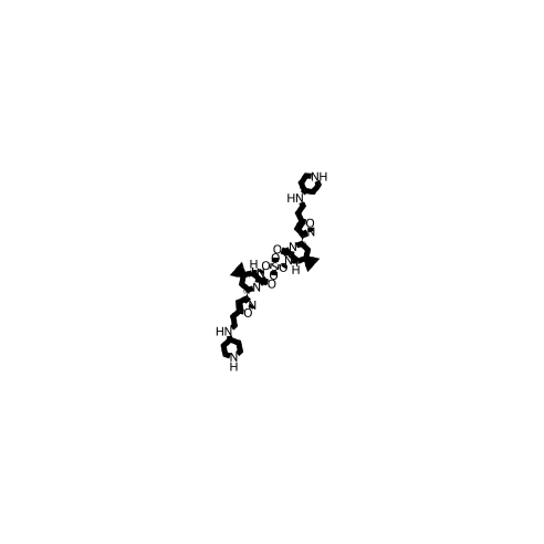 O=C1N2C[C@H](N1OS(=O)(=O)ON1C(=O)N3C[C@H]1C1(CC1)C[C@H]3c1cc(CCNC3CCNCC3)on1)C1(CC1)C[C@H]2c1cc(CCNC2CCNCC2)on1